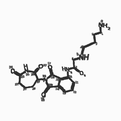 NCCCCNCC(=O)Nc1cccc2c1C(=O)N(C1CCCC(=O)NC1=O)C2=O